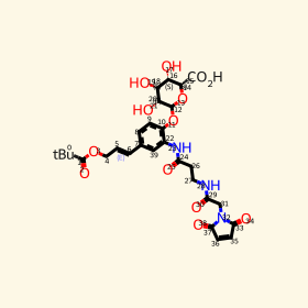 CC(C)(C)C(=O)OC/C=C/c1ccc(OC2O[C@H](C(=O)O)[C@@H](O)[C@H](O)[C@H]2O)c(NC(=O)CCNC(=O)CN2C(=O)C=CC2=O)c1